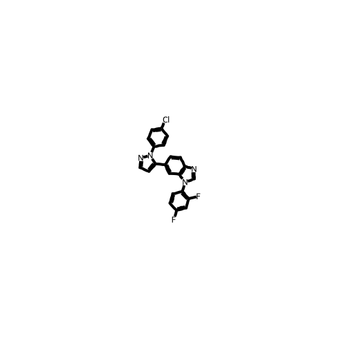 Fc1ccc(-n2cnc3ccc(-c4ccnn4-c4ccc(Cl)cc4)cc32)c(F)c1